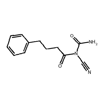 N#CN(C(N)=O)C(=O)[CH]CCc1ccccc1